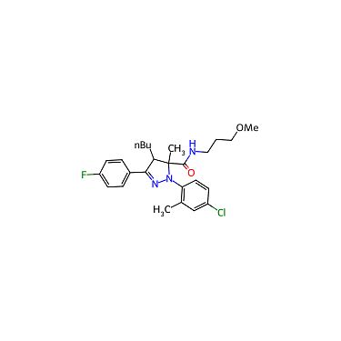 CCCCC1C(c2ccc(F)cc2)=NN(c2ccc(Cl)cc2C)C1(C)C(=O)NCCCOC